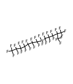 FC(F)(F)C(F)(F)C(F)(F)C(F)(F)C(F)(F)C(F)(F)C(F)(F)[N+](F)(F)C(F)(F)C(F)(F)C(F)(F)C(F)(C(F)(F)F)C(F)(F)F